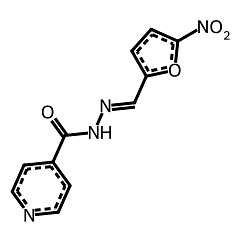 O=C(N/N=C/c1ccc([N+](=O)[O-])o1)c1ccncc1